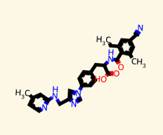 CCc1cc(C#N)cc(C)c1C(=O)NC(Cc1ccc(-n2cnc(CNc3cc(C)ccn3)c2)cc1)C(=O)O